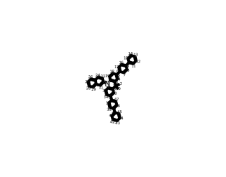 CC1(C)c2cc(-c3ccc(-c4ccccc4)cc3)ccc2N(c2ccc3ccccc3c2)c2ccc(-c3ccc(-c4ccccc4)cc3)cc21